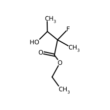 CCOC(=O)C(C)(F)C(C)O